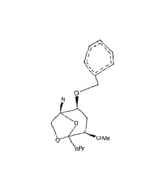 CCCC12OC[C@@H](O1)[C@@H](OCc1ccccc1)C[C@H]2OC